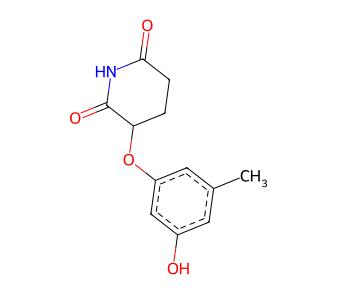 Cc1cc(O)cc(OC2CCC(=O)NC2=O)c1